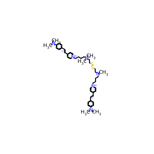 CN(CCCC[n+]1ccc(/C=C/c2ccc(N(C)C)cc2)cc1)CCSSCC[N+](C)(C)CCCC[n+]1ccc(/C=C/c2ccc(N(C)C)cc2)cc1